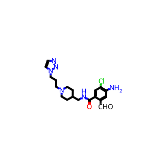 Nc1cc(C=O)c(C(=O)NCC2CCN(CCCn3ccnn3)CC2)cc1Cl